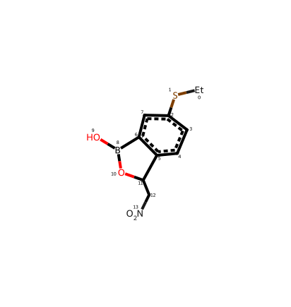 CCSc1ccc2c(c1)B(O)OC2C[N+](=O)[O-]